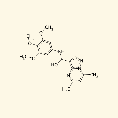 COc1cc(NC(O)c2cnn3c(C)cc(C)nc23)cc(OC)c1OC